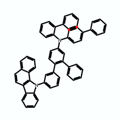 c1ccc(-c2ccc(N(c3ccc(-c4cccc(-n5c6ccccc6c6ccc7ccccc7c65)c4)c(-c4ccccc4)c3)c3ccccc3-c3ccccc3)cc2)cc1